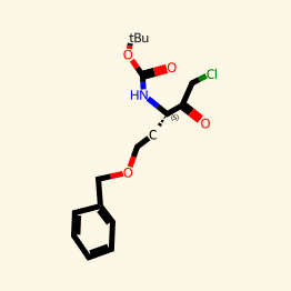 CC(C)(C)OC(=O)N[C@@H](CCOCc1ccccc1)C(=O)CCl